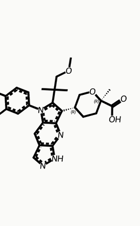 COCC(C)(C)c1c([C@H]2CC[C@](C)(C(=O)O)OC2)c2nc3[nH]ncc3cc2n1-c1ccc(F)c(C)c1